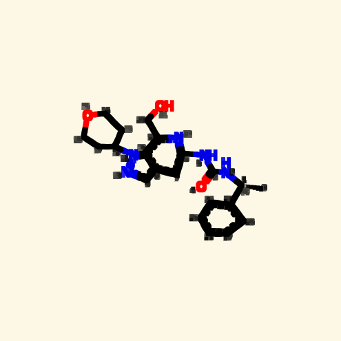 C[C@@H](NC(=O)Nc1cc2cnn(C3CCOCC3)c2c(CO)n1)c1ccccc1